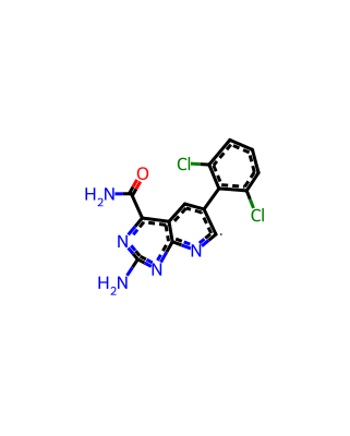 NC(=O)c1nc(N)nc2n[c]c(-c3c(Cl)cccc3Cl)cc12